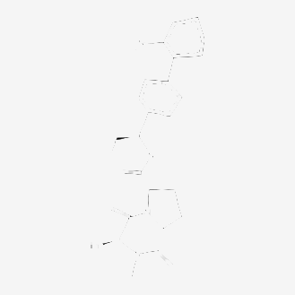 C=CN(C)[C@H](C(=O)N1CCC[C@H]1C(=O)N[C@@H](CO)c1ccc(-c2ccccc2N)cc1)C(C)C